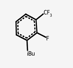 CCC(C)c1cccc(C(F)(F)F)c1F